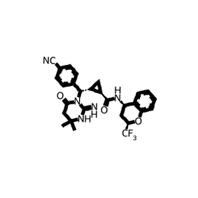 CC1(C)CC(=O)N(C(c2ccc(C#N)cc2)[C@@H]2C[C@H]2C(=O)N[C@@H]2C[C@H](C(F)(F)F)Oc3ccccc32)C(=N)N1